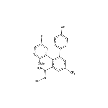 COc1ncc(F)cc1-c1c(C(N)=NO)cc(C(F)(F)F)cc1-c1ccc(O)cc1